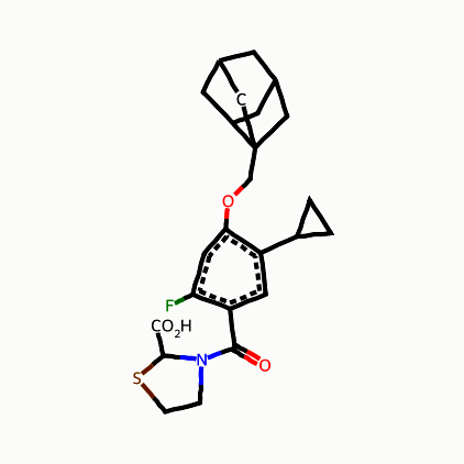 O=C(O)C1SCCN1C(=O)c1cc(C2CC2)c(OCC23CC4CC(CC2C4)C3)cc1F